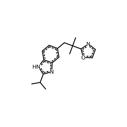 CC(C)c1nc2cc(CC(C)(C)c3ncco3)ccc2[nH]1